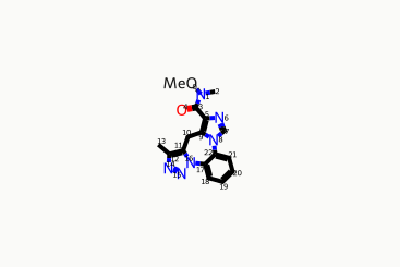 CON(C)C(=O)c1ncn2c1Cc1c(C)nnn1-c1ccccc1-2